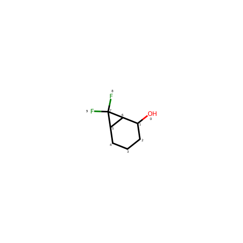 OC1CCCC2C1C2(F)F